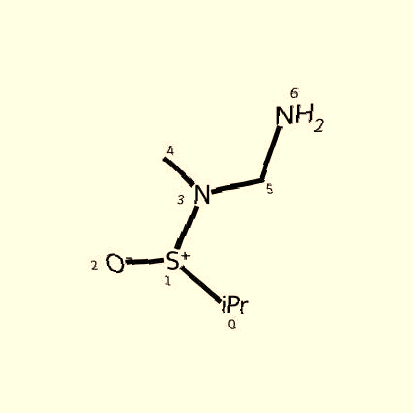 CC(C)[S+]([O-])N(C)CN